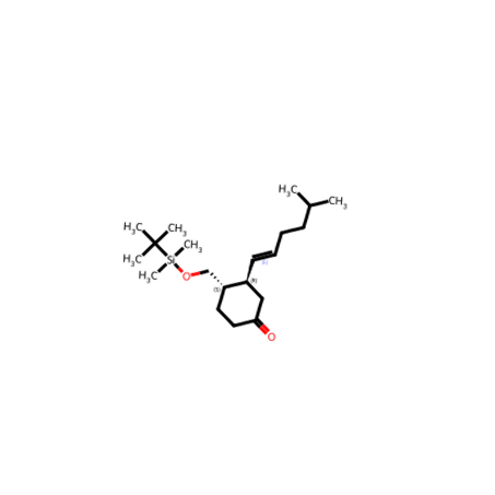 CC(C)CC/C=C/[C@H]1CC(=O)CC[C@@H]1CO[Si](C)(C)C(C)(C)C